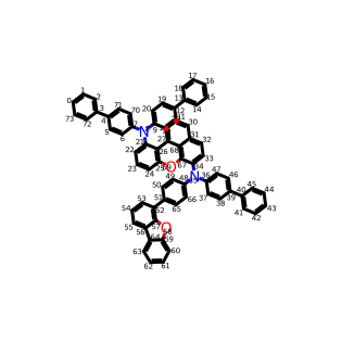 c1ccc(-c2ccc(N(c3ccc(-c4ccccc4)cc3)c3cccc4c3-c3cccc5ccc(N(c6ccc(-c7ccccc7)cc6)c6ccc(-c7cccc8c7oc7ccccc78)cc6)c(c35)O4)cc2)cc1